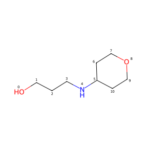 OCCCNC1CCOCC1